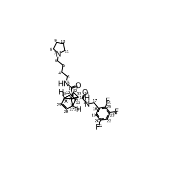 O=C(NCCCCN1CCCC1)[C@H]1[C@H](C(=O)NCc2cc(F)cc(F)c2F)[C@@H]2C=C[C@H]1C21CC1